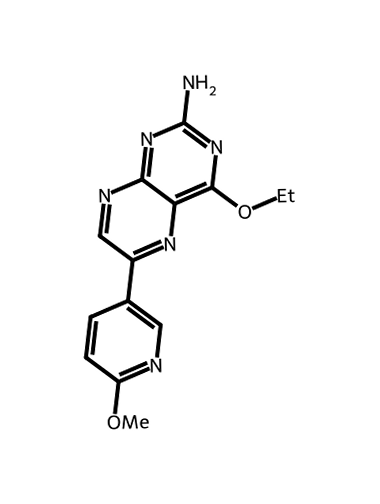 CCOc1nc(N)nc2ncc(-c3ccc(OC)nc3)nc12